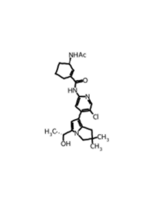 CC(=O)N[C@H]1C=C(C(=O)Nc2cc(-c3cc([C@@H](C)O)n4c3CC(C)(C)C4)c(Cl)cn2)CCC1